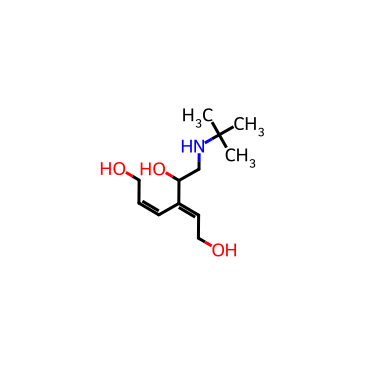 CC(C)(C)NCC(O)C(/C=C\CO)=C/CO